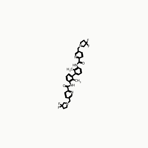 Cc1c(NC(=O)c2ccc(CN3CCC(F)(F)C3)cn2)cccc1-c1cccc(NC(=O)c2ccc(CN3CCC(F)(F)C3)cn2)c1C